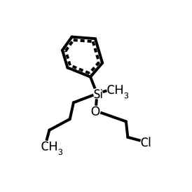 CCCC[Si](C)(OCCCl)c1ccccc1